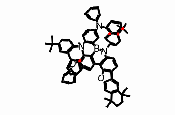 CC(C)(C)c1ccc(N2B3c4cc(N(c5ccccc5)c5ccccc5)ccc4N(c4ccc(C(C)(C)C)cc4-c4ccccc4)c4c3c(cc3c4oc4ccccc43)-c3c2ccc2c3oc3cc4c(cc32)C(C)(C)CCC4(C)C)cc1